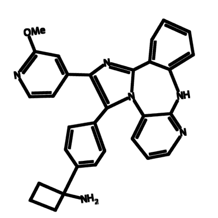 COc1cc(-c2nc3n(c2-c2ccc(C4(N)CCC4)cc2)-c2cccnc2Nc2ccccc2-3)ccn1